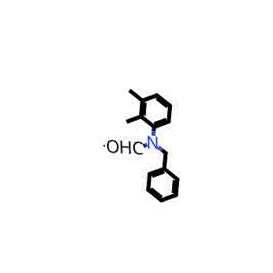 Cc1cccc(N([C]=O)Cc2ccccc2)c1C